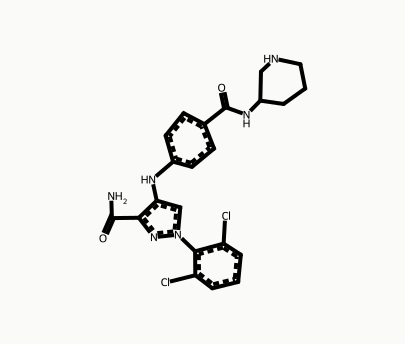 NC(=O)c1nn(-c2c(Cl)cccc2Cl)cc1Nc1ccc(C(=O)NC2CCCNC2)cc1